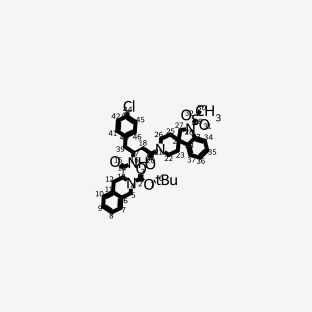 CC(C)(C)OC(=O)N1Cc2ccccc2C[C@@H]1C(=O)N[C@H](CC(=O)N1CCC2(CC1)CN(S(C)(=O)=O)c1ccccc12)Cc1ccc(Cl)cc1